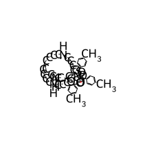 Cc1ccc(S(=O)(=O)[N+](C23CCCCNCCCCC(CCCCNCCCC2)CCCCNCCCC3)(S(=O)(=O)c2ccc(C)cc2)S(=O)(=O)c2ccc(C)cc2)cc1